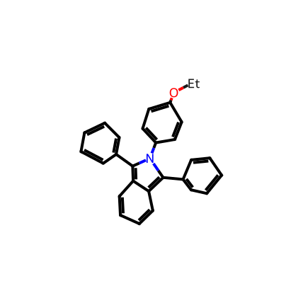 CCOc1ccc(-n2c(-c3ccccc3)c3ccccc3c2-c2ccccc2)cc1